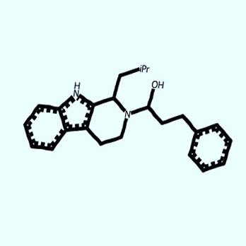 CC(C)CC1c2[nH]c3ccccc3c2CCN1C(O)CCc1ccccc1